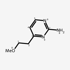 COCCc1ccnc(N)n1